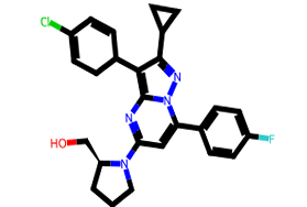 OC[C@@H]1CCCN1c1cc(-c2ccc(F)cc2)n2nc(C3CC3)c(C3C=CC(Cl)=CC3)c2n1